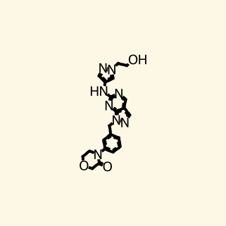 O=C1COCCN1c1cccc(Cn2ncc3cnc(Nc4cnn(CCO)c4)nc32)c1